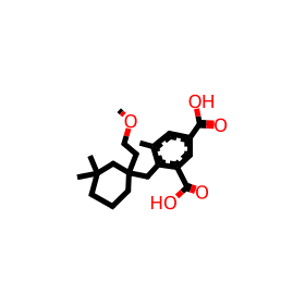 COCCC1(Cc2c(C)cc(C(=O)O)cc2C(=O)O)CCCC(C)(C)C1